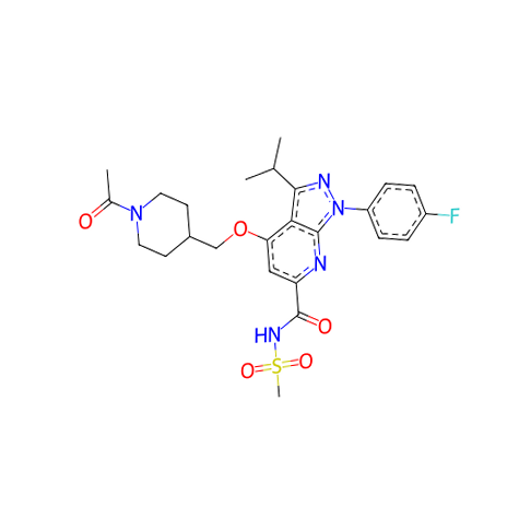 CC(=O)N1CCC(COc2cc(C(=O)NS(C)(=O)=O)nc3c2c(C(C)C)nn3-c2ccc(F)cc2)CC1